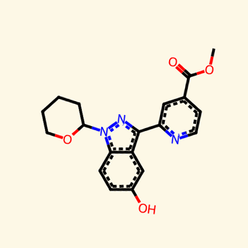 COC(=O)c1ccnc(-c2nn(C3CCCCO3)c3ccc(O)cc23)c1